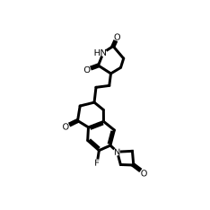 O=C1CN(c2cc3c(cc2F)C(=O)CC(CCC2CCC(=O)NC2=O)C3)C1